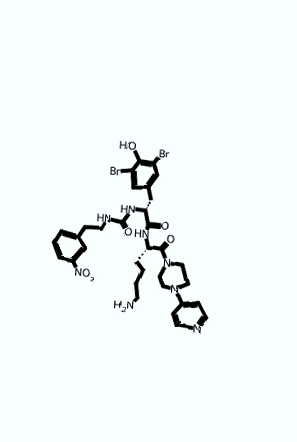 NCCCC[C@H](NC(=O)[C@@H](Cc1cc(Br)c(O)c(Br)c1)NC(=O)NCCc1cccc([N+](=O)[O-])c1)C(=O)N1CCN(c2ccncc2)CC1